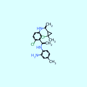 C=C(Nc1ccc(C)cc1N)c1cc(NC(=C)C2CC2(C)Cl)ccc1Cl